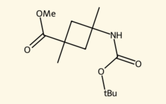 COC(=O)C1(C)CC(C)(NC(=O)OC(C)(C)C)C1